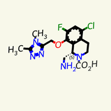 Cc1nnc(COc2c(F)cc(Cl)c3c2[C@@H](CN)N(C(=O)O)CC3)n1C